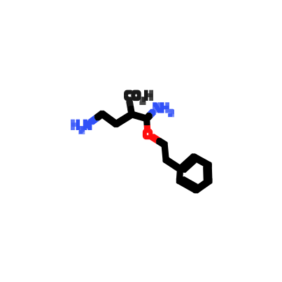 NCCC(C(=O)O)C(N)OCCc1ccccc1